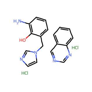 Cl.Cl.Nc1cccc(Cn2ccnc2)c1O.c1ccc2ncncc2c1